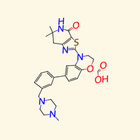 CN1CCN(Cc2cccc(-c3ccc4c(c3)N(c3nc5c(s3)C(=O)NC(C)(C)C5)CCO4)c2)CC1.O=CO